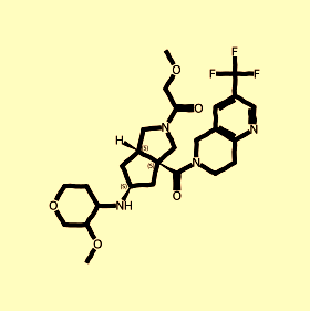 COCC(=O)N1C[C@H]2C[C@H](NC3CCOCC3OC)C[C@@]2(C(=O)N2CCc3ncc(C(F)(F)F)cc3C2)C1